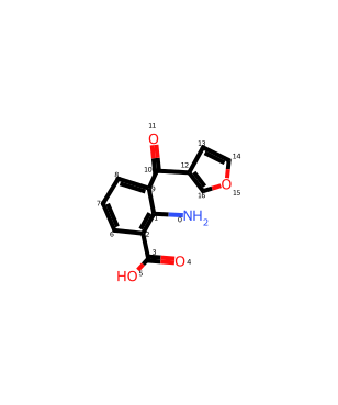 Nc1c(C(=O)O)cccc1C(=O)c1ccoc1